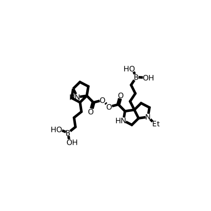 CCN1CCC2(CCCB(O)O)C(C(=O)OOC(=O)C34CCC(CC3CCCB(O)O)N4)NCC12